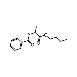 CCCCOC(=O)C(C)SC(=O)c1ccccc1